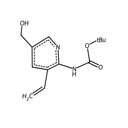 C=Cc1cc(CO)cnc1NC(=O)OC(C)(C)C